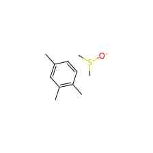 C[S+](C)[O-].Cc1ccc(C)c(C)c1